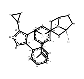 COC(=O)c1cccc(N2C3CC[C@H]2CC(OCc2c(-c4ccccc4C(F)(F)F)noc2C2CC2)C3)n1